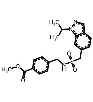 COC(=O)c1ccc(CNS(=O)(=O)Cc2ccc3cnn(C(C)C)c3c2)cc1